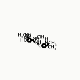 CNS(=O)(=O)c1cc([C@@H](O)CNCCOc2ccc3c(C)c(C)[nH]c3c2)ccc1O.Cl